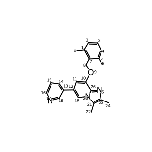 Cc1cccc(C)c1COc1cc(-c2cccnc2)cn2c(C)c(C)nc12